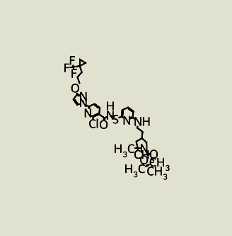 CC(C)(C)OC(=O)N1CC(CCNc2cccc(SNC(=O)c3ccc(-n4ccc(OCCCC5(C(F)(F)F)CC5)n4)nc3Cl)n2)CC1(C)C